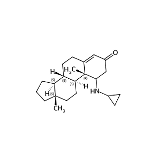 C[C@@]12CCC[C@H]1[C@@H]1CCC3=CC(=O)CC(NC4CC4)[C@]3(C)[C@H]1CC2